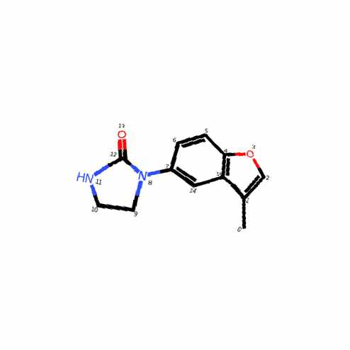 Cc1coc2ccc(N3CCNC3=O)cc12